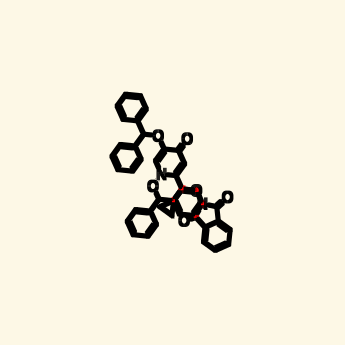 O=C1c2ccccc2C(=O)N1OC(c1cc(=O)c(OC(c2ccccc2)c2ccccc2)cn1OC(c1ccccc1)c1ccccc1)C1CC1